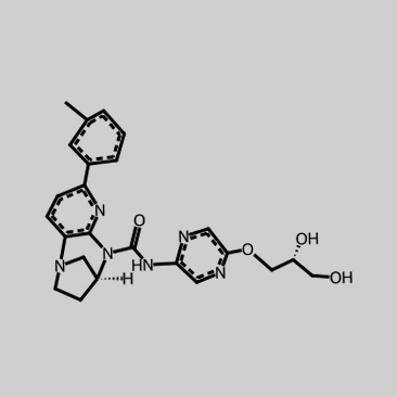 Cc1cccc(-c2ccc3c(n2)N(C(=O)Nc2cnc(OC[C@H](O)CO)cn2)[C@H]2CCN3C2)c1